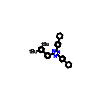 CC(C)(C)c1cc(-c2cccc(-c3nc(-c4ccc(C5CCCCC5)cc4)nc(-c4ccc(C5CCCCC5)cc4)n3)c2)cc(C(C)(C)C)c1